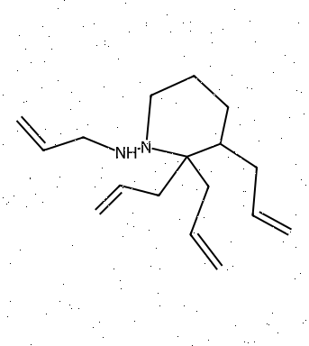 C=CCNN1CCCC(CC=C)C1(CC=C)CC=C